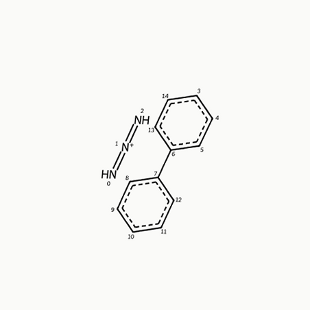 N=[N+]=N.c1ccc(-c2ccccc2)cc1